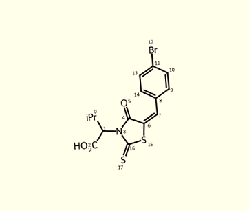 CC(C)C(C(=O)O)N1C(=O)/C(=C\c2ccc(Br)cc2)SC1=S